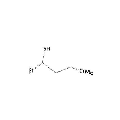 CCC(S)CCOC